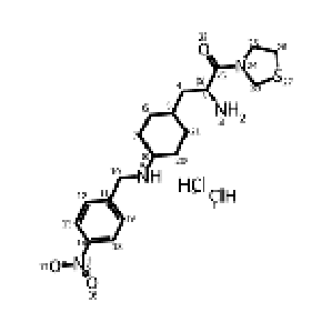 Cl.Cl.N[C@@H](CC1CCC(NCc2ccc([N+](=O)[O-])cc2)CC1)C(=O)N1CCSC1